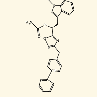 Cn1cc(C[C@H](OC(N)=O)c2nc(Cc3ccc(-c4ccccc4)cc3)no2)c2ccccc21